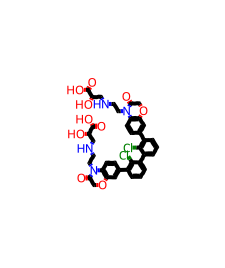 O=C(O)C(O)CNCCN1C(=O)COc2cc(-c3cccc(-c4cccc(-c5ccc6c(c5)OCC(=O)N6CCNCC(O)C(=O)O)c4Cl)c3Cl)ccc21